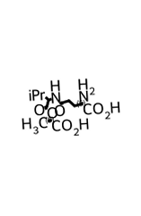 CC(C)C(NC(=O)CC[C@H](N)C(=O)O)C(=O)O[C@@H](C)C(=O)O